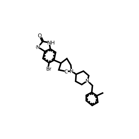 Cc1ccccc1CN1CCC(N2CCC(c3cc4c(cc3Br)[N]C(=O)N4)CC2)CC1